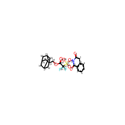 O=C1Cc2ccccc2C(=O)N1OS(=O)(=O)C(F)(F)C(=O)OCC12CC3CC(CC(C3)C1)C2